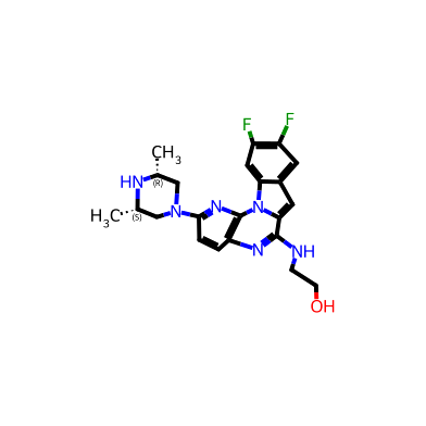 C[C@@H]1CN(c2ccc3nc(NCCO)c4cc5cc(F)c(F)cc5n4c3n2)C[C@H](C)N1